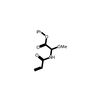 C=CC(=O)NC(OC)C(=O)OC(C)C